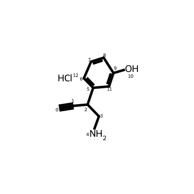 C#CC(CN)c1cccc(O)c1.Cl